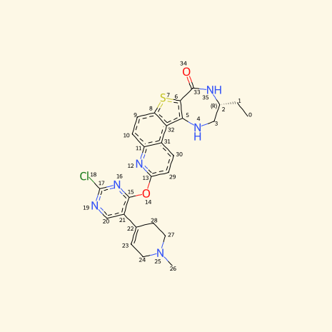 CC[C@@H]1CNc2c(sc3ccc4nc(Oc5nc(Cl)ncc5C5=CCN(C)CC5)ccc4c23)C(=O)N1